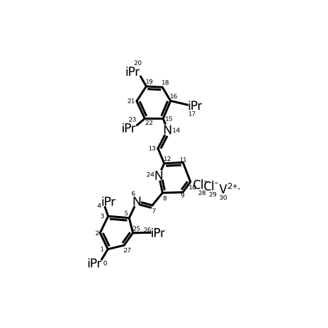 CC(C)c1cc(C(C)C)c(N=Cc2cccc(C=Nc3c(C(C)C)cc(C(C)C)cc3C(C)C)n2)c(C(C)C)c1.[Cl-].[Cl-].[V+2]